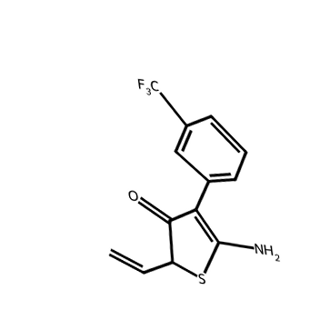 C=CC1SC(N)=C(c2cccc(C(F)(F)F)c2)C1=O